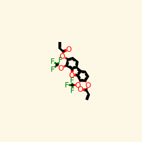 C=CC(=O)Oc1ccc2c(oc3c(OC(F)(F)F)c(OC(=O)C=C)ccc32)c1OC(F)(F)F